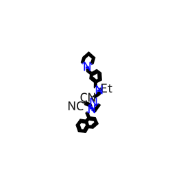 CCN(CCN1CCN(Cc2cccc3ccccc23)C1=C(C#N)C#N)Cc1cccc(CN2CCCCC2)c1